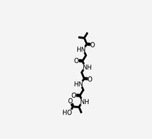 CC(C)C(=O)NCC(=O)NCC(=O)NCC(=O)NC(C)C(=O)O